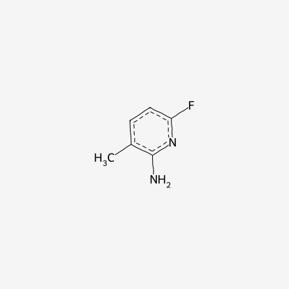 Cc1ccc(F)nc1N